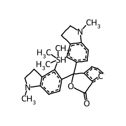 CN1CCc2c1ccc1c2[SH](C)(C)(C)c2c(ccc3c2CCN3C)C12OC(=O)c1ccccc12